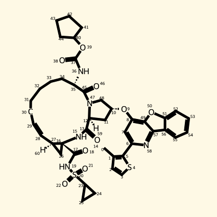 Cc1ccsc1-c1cc(O[C@@H]2C[C@H]3C(=O)N[C@]4(C(=O)NS(=O)(=O)C5CC5)C[C@H]4/C=C\CCCCC[C@H](NC(=O)OC4CCCC4)C(=O)N3C2)c2oc3ccccc3c2n1